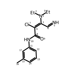 CCN(CC)/C(C=N)=C(\Cl)C(=O)Nc1cccc(C)c1